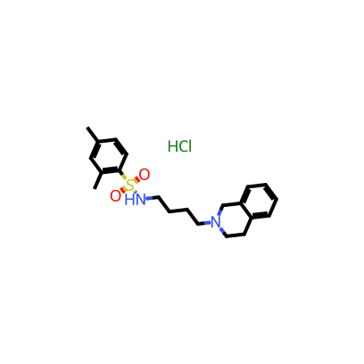 Cc1ccc(S(=O)(=O)NCCCCN2CCc3ccccc3C2)c(C)c1.Cl